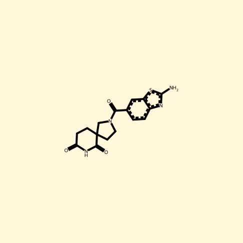 Nc1nc2ccc(C(=O)N3CCC4(CCC(=O)NC4=O)C3)cc2s1